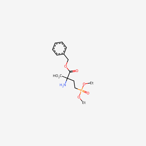 CCOP(=O)(CCC(N)(C(=O)O)C(=O)OCc1ccccc1)OCC